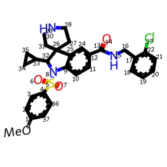 COc1ccc(S(=O)(=O)N2c3ccc(C(=O)NCc4ccccc4Cl)cc3C3(CCNCC3)C2C2CC2)cc1